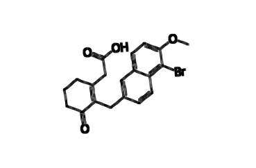 COc1ccc2cc(CC3=C(CC(=O)O)CCCC3=O)ccc2c1Br